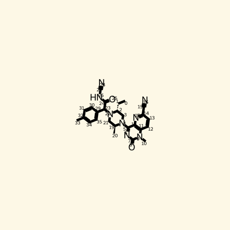 CC[C@@H]1CN(c2nc(=O)n(C)c3ccc(C#N)nc23)[C@@H](C)CN1C(C(=O)NC#N)c1ccc(C)cc1